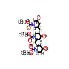 CC(C)(C)OC(=O)N1CC(=O)CC(C[C@H]2CN(C(=O)OC(C)(C)C)C(C[C@@H]3CC(=O)CCN3C(=O)OC(C)(C)C)CC2=O)C1